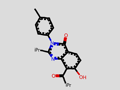 Cc1ccc(-n2c(C(C)C)nc3c(C(=O)C(C)C)c(O)ccc3c2=O)cc1